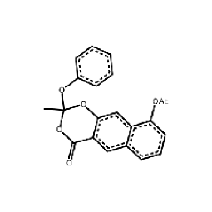 CC(=O)Oc1cccc2cc3c(cc12)OC(C)(Oc1ccccc1)OC3=O